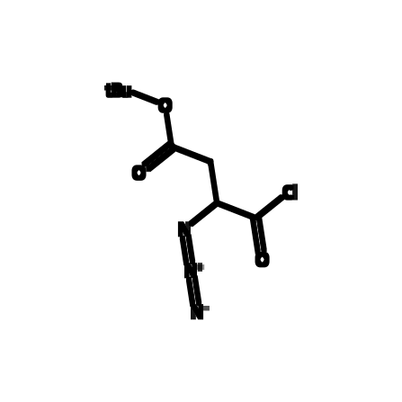 CC(C)(C)OC(=O)CC(N=[N+]=[N-])C(=O)Cl